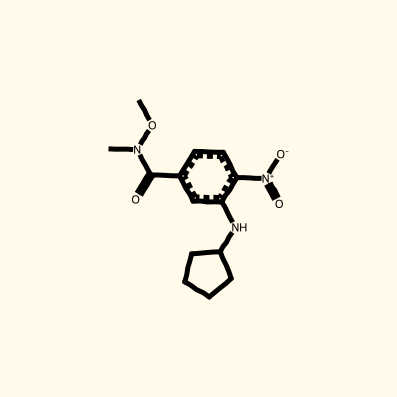 CON(C)C(=O)c1ccc([N+](=O)[O-])c(NC2CCCC2)c1